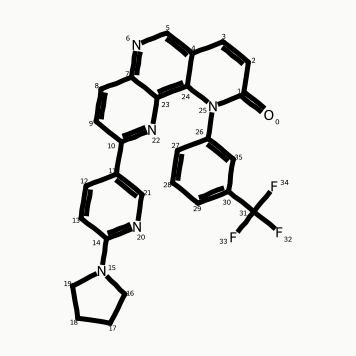 O=c1ccc2cnc3ccc(-c4ccc(N5CCCC5)nc4)nc3c2n1-c1cccc(C(F)(F)F)c1